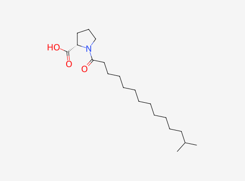 CC(C)CCCCCCCCCCCC(=O)N1CCC[C@H]1C(=O)O